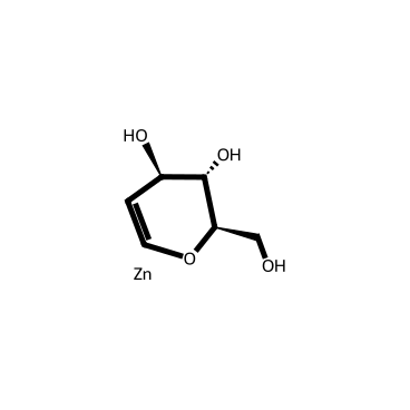 OC[C@H]1OC=C[C@@H](O)[C@@H]1O.[Zn]